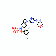 O=P(O)(O)CN(Sc1cc(Cl)cc(Cl)c1)c1ccc2c(ccn2-c2cnc(NC3CCOCC3)cn2)c1